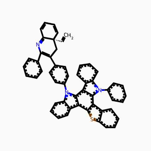 C=C[C@@]12C=CC=CC1=NC(c1ccccc1)=C(c1ccc(-n3c4ccccc4c4c5sc6ccccc6c5c5c(c6ccccc6n5-c5ccccc5)c43)cc1)C2